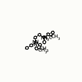 CC1(C)c2ccccc2-c2ccc(-c3cc(-c4cccc(-c5cccc(-c6nc(-c7ccc(-c8ccccc8)cc7)nc(-c7cccc8c7-c7ccccc7C8(C)C)n6)c5)c4)nc(-c4ccccc4)n3)cc21